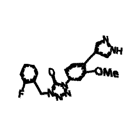 COc1cc(-n2nnn(Cc3ccccc3F)c2=O)ccc1-c1cn[nH]c1